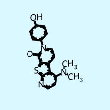 CN(C)c1ccnc2sc3c(=O)n(-c4ccc(O)cc4)ccc3c12